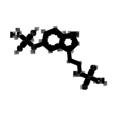 CS(=O)(=O)NCCc1c[nH]c2ccc(OS(C)(=O)=O)cc12